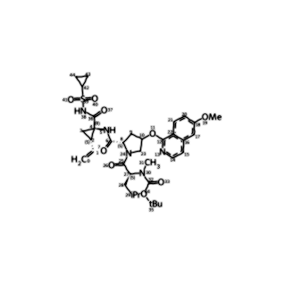 C=C[C@@H]1C[C@]1(NC(=O)[C@@H]1CC(Oc2nccc3cc(OC)ccc23)CN1C(=O)[C@H](CC(C)C)N(C)C(=O)OC(C)(C)C)C(=O)NS(=O)(=O)C1CC1